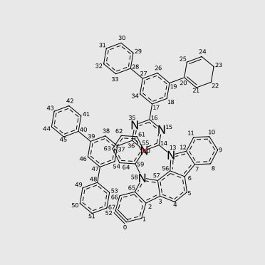 c1cc2c3ccc4c5ccccc5n(-c5nc(-c6cc(C7=CCCC=C7)cc(-c7ccccc7)c6)nc(-c6cc(-c7ccccc7)cc(-c7ccccc7)c6)n5)c4c3n(-c3ccccc3)c2cc#1